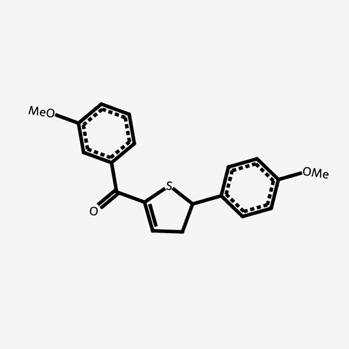 COc1ccc(C2CC=C(C(=O)c3cccc(OC)c3)S2)cc1